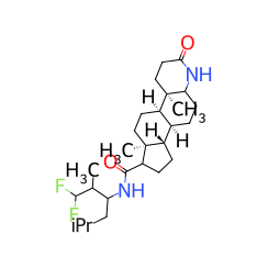 CC(C)CC(NC(=O)C1CC[C@H]2[C@@H]3CCC4NC(=O)CC[C@]4(C)[C@@H]3CC[C@]12C)C(C)C(F)F